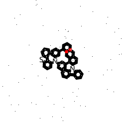 c1ccc(-c2cccc(N(c3cccc(-c4c(-n5c6ccccc6c6ccccc65)ccc5ccccc45)c3)c3cccc4sc5ccccc5c34)c2)cc1